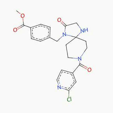 COC(=O)c1ccc(CN2C(=O)CNC23CCN(C(=O)c2ccnc(Cl)c2)CC3)cc1